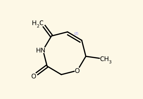 C=C1/C=C\C(C)OCC(=O)N1